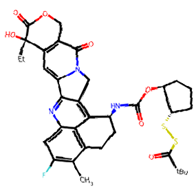 CC[C@@]1(O)C(=O)OCc2c1cc1n(c2=O)Cc2c-1nc1cc(F)c(C)c3c1c2[C@@H](NC(=O)O[C@H]1CCC[C@@H]1SSC(=O)C(C)(C)C)CC3